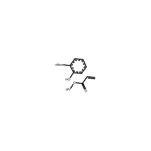 C=CC(=O)OCCC.CCCCCCCCCc1ccccc1O